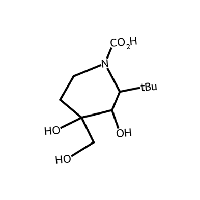 CC(C)(C)C1C(O)C(O)(CO)CCN1C(=O)O